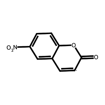 O=c1[c]cc2cc([N+](=O)[O-])ccc2o1